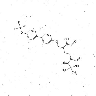 CC1(C)NC(=O)N(CCC(COc2ccc(-c3ccc(OC(F)(F)F)cc3)cc2)N(O)C=O)C1=O